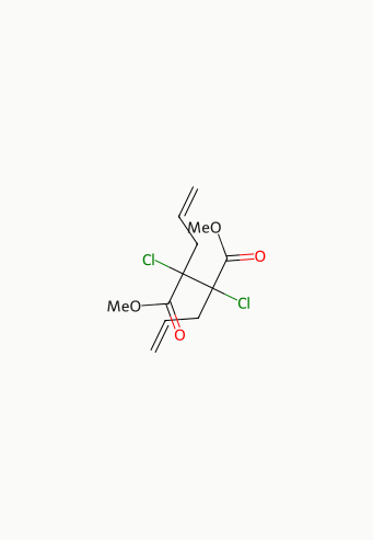 C=CCC(Cl)(C(=O)OC)C(Cl)(CC=C)C(=O)OC